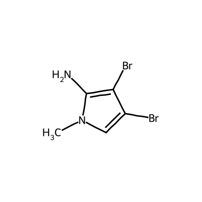 Cn1cc(Br)c(Br)c1N